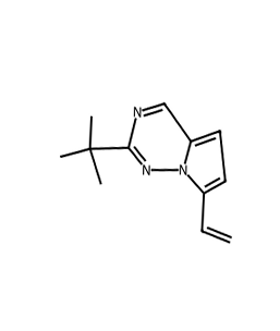 C=Cc1ccc2cnc(C(C)(C)C)nn12